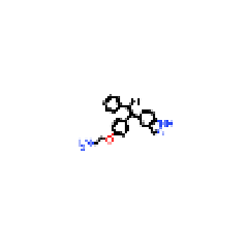 CC/C(=C(/c1ccc(OCCN)cc1)c1ccc2[nH]ncc2c1)c1ccccc1